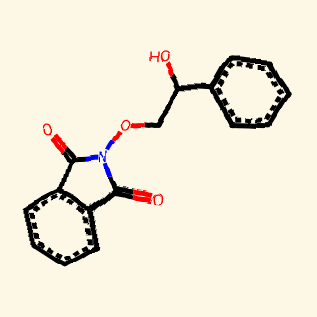 O=C1c2ccccc2C(=O)N1OCC(O)c1ccccc1